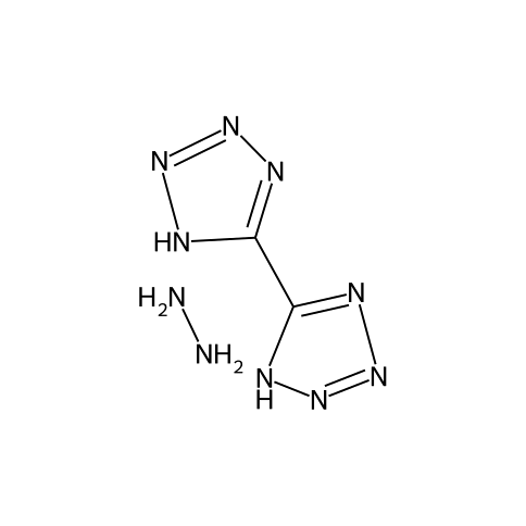 NN.n1n[nH]c(-c2nnn[nH]2)n1